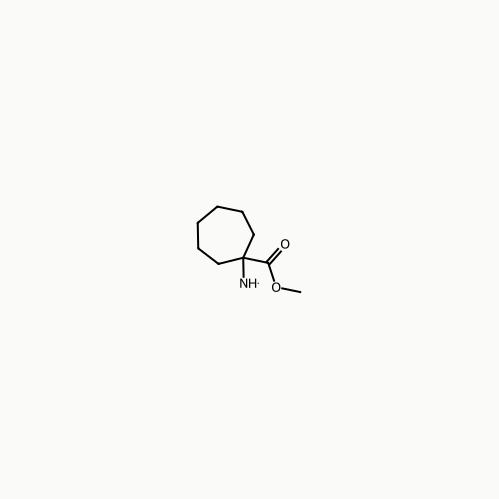 COC(=O)C1([NH])CCCCCC1